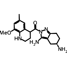 COc1cc(C)cc2c1NCCC2C(=O)n1nc2c(c1N)C[C@H](N)CC2